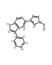 CCn1ccc(-c2ccc3scc(-c4ccncc4)c3n2)n1